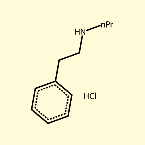 CCCNCCc1ccccc1.Cl